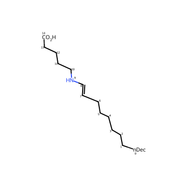 CCCCCCCCCCCCCCCCC=CNCCCCC(=O)O